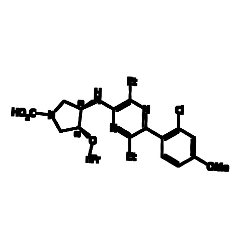 CCCO[C@H]1CN(C(=O)O)C[C@H]1Nc1nc(CC)c(-c2ccc(OC)cc2Cl)nc1CC